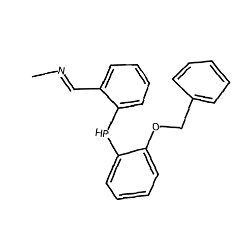 C/N=C/c1ccccc1Pc1ccccc1OCc1ccccc1